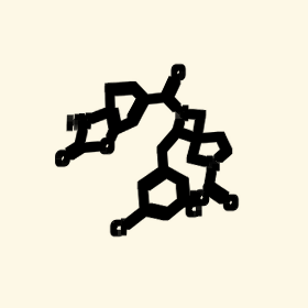 O=C(O)N1CCC2(C1)CN(C(=O)c1ccc3[nH]c(=O)oc3c1)C2Cc1cc(Cl)cc(Cl)c1